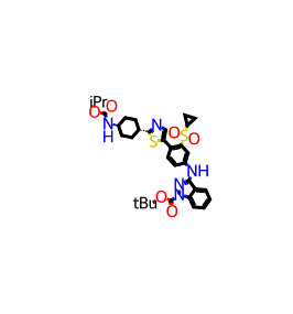 CC(C)OC(=O)N[C@H]1CC[C@H](c2ncc(-c3ccc(Nc4nn(C(=O)OC(C)(C)C)c5ccccc45)cc3S(=O)(=O)C3CC3)s2)CC1